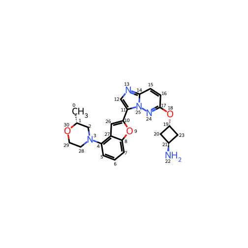 C[C@@H]1CN(c2cccc3oc(-c4cnc5ccc(O[C@H]6C[C@H](N)C6)nn45)cc23)CCO1